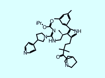 Cc1cc(C)cc(-c2[nH]cc(CCC(C)(C)C(=O)C3C4CCN3CC4)c2[C@H](C)CNC(=NC(=O)OC(C)C)N2CCC(c3ccncc3)C2)c1